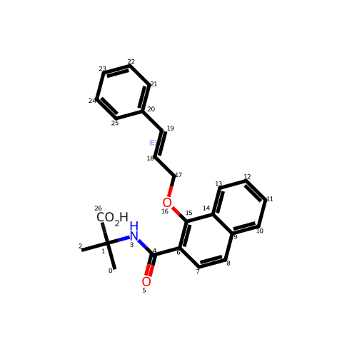 CC(C)(NC(=O)c1ccc2ccccc2c1OC/C=C/c1ccccc1)C(=O)O